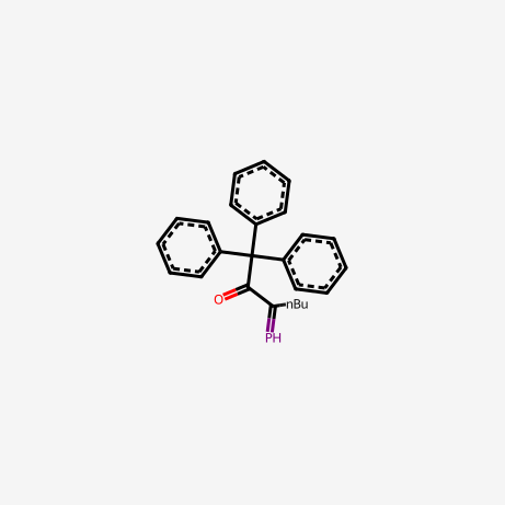 CCCCC(=P)C(=O)C(c1ccccc1)(c1ccccc1)c1ccccc1